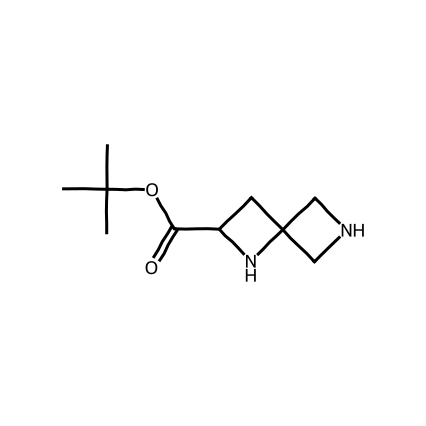 CC(C)(C)OC(=O)C1CC2(CNC2)N1